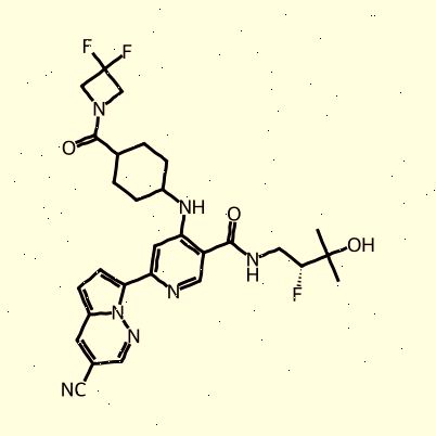 CC(C)(O)[C@H](F)CNC(=O)c1cnc(-c2ccc3cc(C#N)cnn23)cc1NC1CCC(C(=O)N2CC(F)(F)C2)CC1